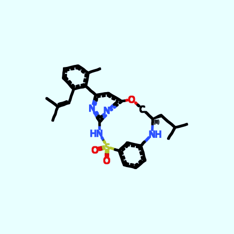 CC(C)=Cc1cccc(C)c1-c1cc2nc(n1)NS(=O)(=O)c1cccc(c1)N[C@H](CC(C)C)CO2